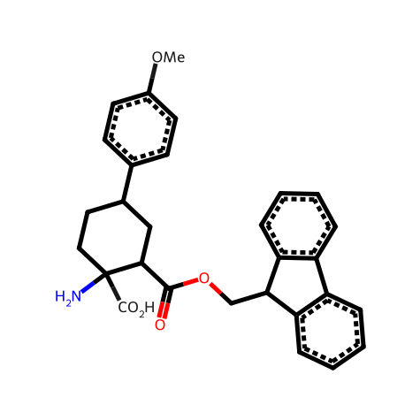 COc1ccc(C2CCC(N)(C(=O)O)C(C(=O)OCC3c4ccccc4-c4ccccc43)C2)cc1